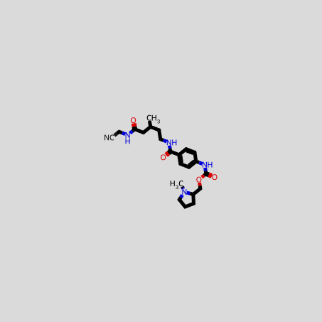 CC(CCNC(=O)c1ccc(NC(=O)OCC2CCCN2C)cc1)CC(=O)NCC#N